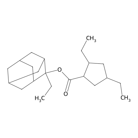 CCC1CC(CC)C(C(=O)OC2(CC)C3CC4CC(C3)CC2C4)C1